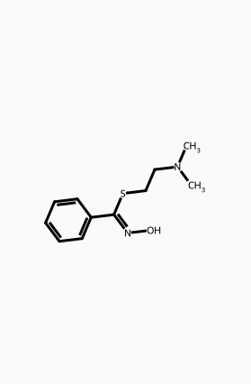 CN(C)CCSC(=NO)c1ccccc1